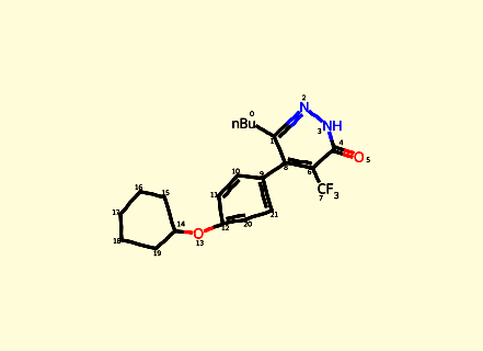 CCCCc1n[nH]c(=O)c(C(F)(F)F)c1-c1ccc(OC2CCCCC2)cc1